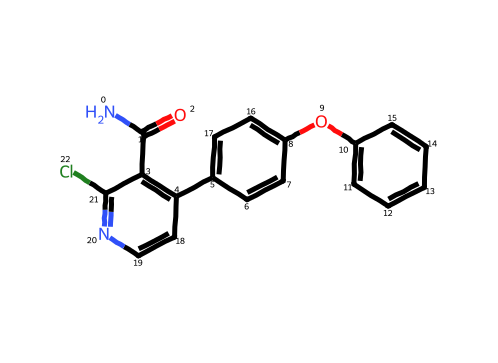 NC(=O)c1c(-c2ccc(Oc3ccccc3)cc2)ccnc1Cl